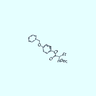 CCCCCCCCCCC(CC)C(=O)Oc1ccc(OCc2ccccc2)cc1